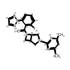 Cc1cc(C)nc(N2CC3CN(C(=O)c4c(F)cccc4-n4nccn4)C3C2)n1